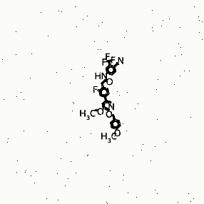 CCOc1cc(-c2ccc(CC(=O)Nc3ccc(C#N)c(C(F)(F)F)c3)c(F)c2)cnc1OCc1ccc(OC)cc1